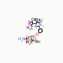 Cc1noc(C)c1-c1nc(-c2cc(OC[C@@H](CCOC(N)=O)O[Si](C)(C)C(C)(C)C)ccc2F)nc(Cl)c1C